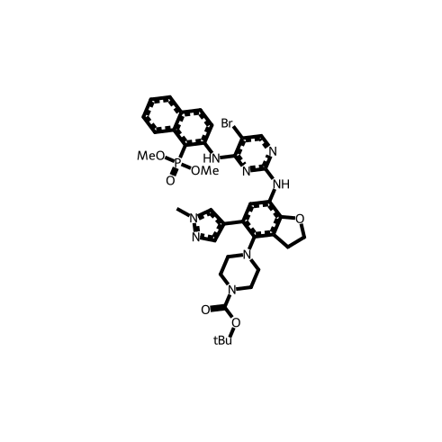 COP(=O)(OC)c1c(Nc2nc(Nc3cc(-c4cnn(C)c4)c(N4CCN(C(=O)OC(C)(C)C)CC4)c4c3OCC4)ncc2Br)ccc2ccccc12